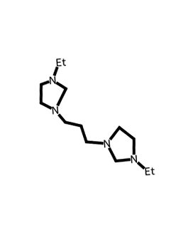 CCN1CCN(CCCN2CCN(CC)C2)C1